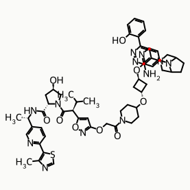 Cc1ncsc1-c1ccc([C@H](C)NC(=O)[C@@H]2C[C@@H](O)CN2C(=O)[C@H](c2cc(OCC(=O)N3CCC(O[C@H]4C[C@H](Oc5cc(N6C7CCC6CN(c6cc(-c8ccccc8O)nnc6N)C7)ccn5)C4)CC3)no2)C(C)C)cn1